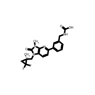 Cn1c(=O)n(C[C@]2(C)CC2(F)F)c2ccc(-c3cccc(CNC(=O)O)c3)nc21